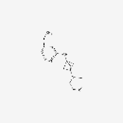 COc1cc(NC23CC(N4CCOCC4)(C2)C3)ncn1